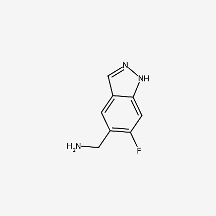 NCc1cc2cn[nH]c2cc1F